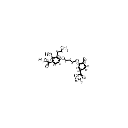 CCCc1c(OCCCOc2cc(C(=O)OC)ccc2Br)ccc(C(C)=O)c1O